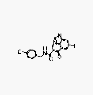 O=C(NCc1ccc(Cl)cc1)c1cn2cnc3cc(I)cc(c1=O)c32